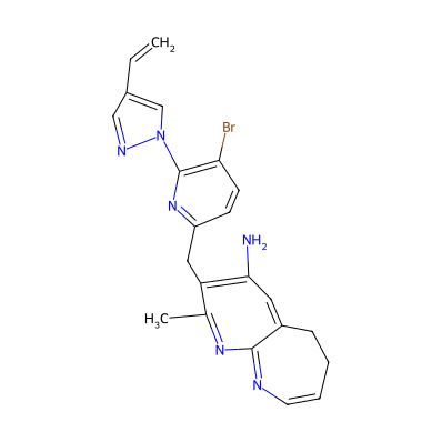 C=Cc1cnn(-c2nc(CC3=C(N)C=C4CCC=CN=C4N=C3C)ccc2Br)c1